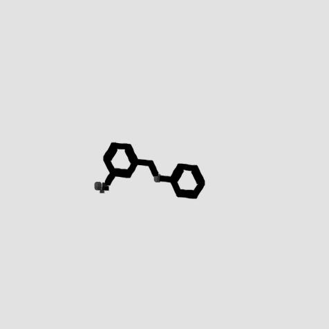 O=[N+]([O-])c1cccc(COc2[c]cccc2)c1